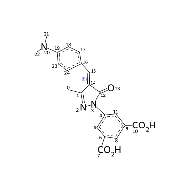 CC1=NN(c2cc(C(=O)O)cc(C(=O)O)c2)C(=O)/C1=C/c1ccc(N(C)C)cc1